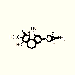 Cl.NC1[C@H]2CN(c3cc(F)c4c(c3)CCCc3c-4[nH]c(=O)c(C(=O)O)c3O)C[C@@H]12